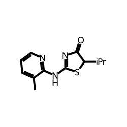 Cc1cccnc1NC1=NC(=O)C(C(C)C)S1